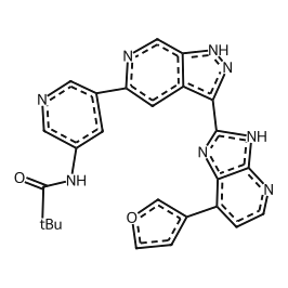 CC(C)(C)C(=O)Nc1cncc(-c2cc3c(-c4nc5c(-c6ccoc6)ccnc5[nH]4)n[nH]c3cn2)c1